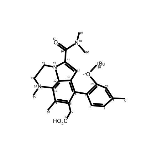 Cc1ccc(-c2c(CC(=O)O)c(C)c3c4c2cc(C(=O)N(C)C)n4CCN3C)c(OC(C)(C)C)c1